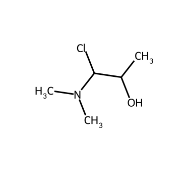 CC(O)C(Cl)N(C)C